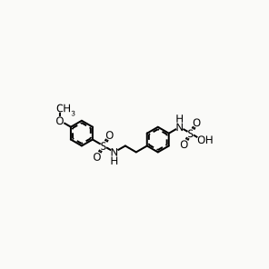 COc1ccc(S(=O)(=O)NCCc2ccc(NS(=O)(=O)O)cc2)cc1